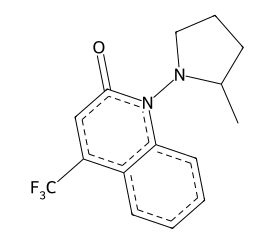 CC1CCCN1n1c(=O)cc(C(F)(F)F)c2ccccc21